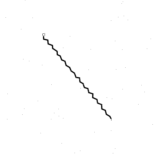 ClCCCCCCCCCCCCCCCCCCCCCCCCCCCCCCI